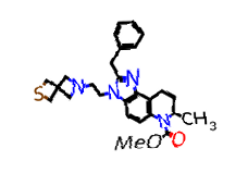 COC(=O)N1c2ccc3c(nc(Cc4ccccc4)n3CCN3CC4(CSC4)C3)c2CCC1C